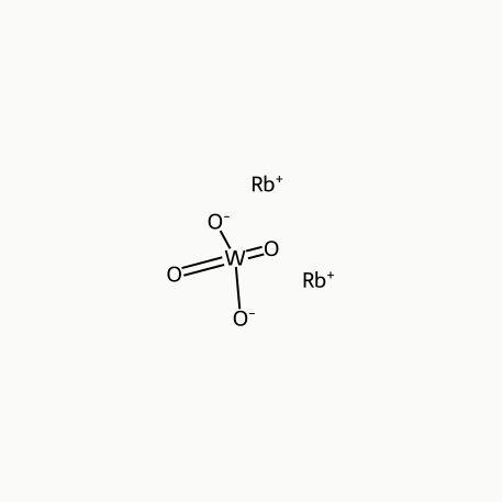 [O]=[W](=[O])([O-])[O-].[Rb+].[Rb+]